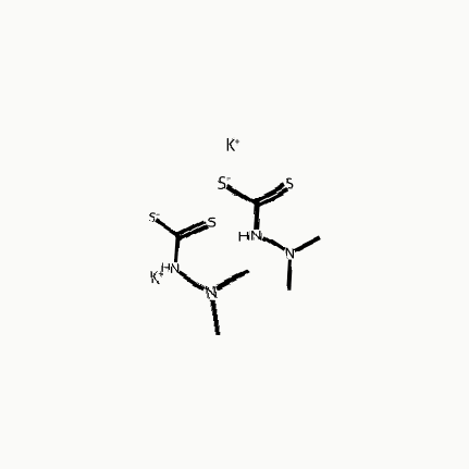 CN(C)NC(=S)[S-].CN(C)NC(=S)[S-].[K+].[K+]